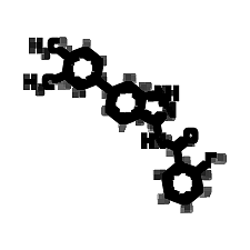 Cc1ccc(-c2ccc3c(NC(=O)c4ccccc4F)n[nH]c3c2)cc1C